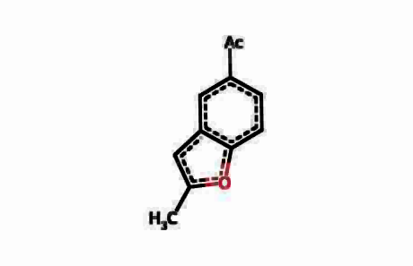 CC(=O)c1ccc2oc(C)cc2c1